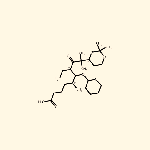 CC[C@@H](C(=O)C(C)(C)[C@@H]1CCOC(C)(C)O1)C(OC1CCCCO1)[C@@H](C)CCCC(C)=O